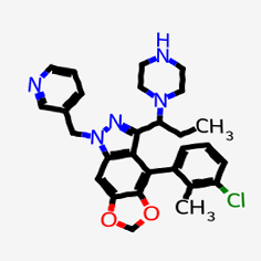 CCC(c1nn(Cc2cccnc2)c2cc3c(c(-c4cccc(Cl)c4C)c12)OCO3)N1CCNCC1